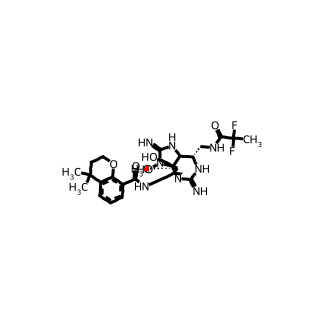 CC(F)(F)C(=O)NC[C@@H]1NC(=N)N2CC(NC(=O)c3cccc4c3OCCC4(C)C)[C@](C)(O)C23C1NC(=N)N3O